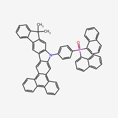 CC1(C)c2ccccc2-c2cc3c4cc5c6ccccc6c6ccccc6c5cc4n(-c4ccc(P(=O)(c5cccc6ccccc56)c5cccc6ccccc56)cc4)c3cc21